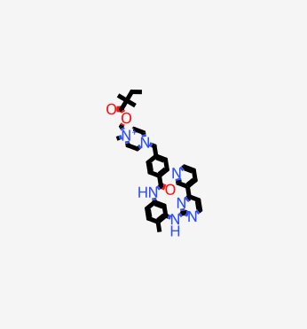 CCC(C)(C)C(=O)OC[N+]1(C)CCN(Cc2ccc(C(=O)Nc3ccc(C)c(Nc4nccc(-c5cccnc5)n4)c3)cc2)CC1